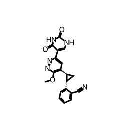 COc1nnc(-c2c[nH]c(=O)[nH]c2=O)cc1[C@H]1C[C@@H]1c1ccccc1C#N